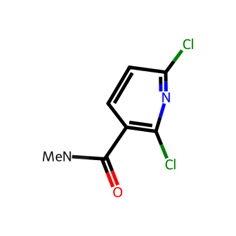 CNC(=O)c1ccc(Cl)nc1Cl